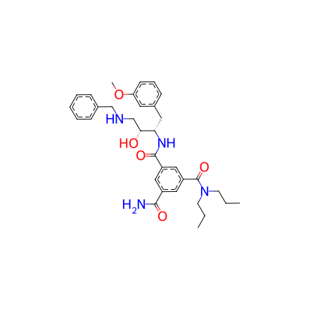 CCCN(CCC)C(=O)c1cc(C(N)=O)cc(C(=O)N[C@@H](Cc2cccc(OC)c2)[C@H](O)CNCc2ccccc2)c1